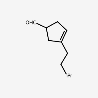 CC(C)CCC1=CCC(C=O)C1